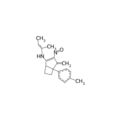 C=C1C(N=O)=C(N/C(C)=C/C)C2CCC12c1ccc(C)cc1